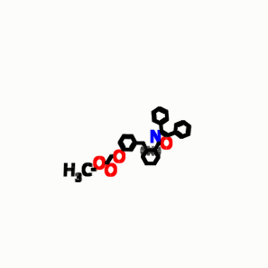 CCOC(=O)COc1cccc(C[C@@H]2CCCC[C@@H]2c2nc(-c3ccccc3)c(-c3ccccc3)o2)c1